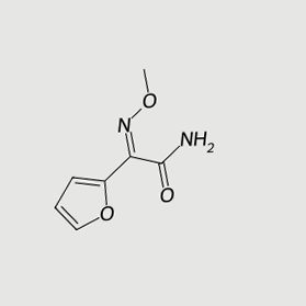 CON=C(C(N)=O)c1ccco1